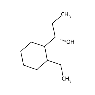 CCC1CCCCC1[C@@H](O)CC